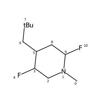 CN1CC(F)C(CC(C)(C)C)CC1F